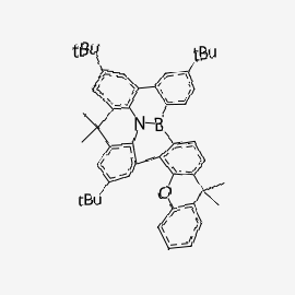 CC(C)(C)c1ccc2c(c1)-c1cc(C(C)(C)C)cc3c1N1B2c2ccc4c(c2-c2cc(C(C)(C)C)cc(c21)C3(C)C)Oc1ccccc1C4(C)C